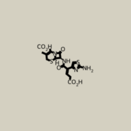 CC1=C(C(=O)O)N2C(=O)[C@@H](NC(=O)/C(=C/CC(=O)O)c3csc(N)n3)[C@H]2SC1